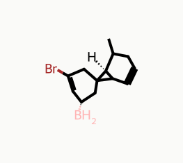 B[C@@H]1C=C(Br)CC2(C1)C1C#CCC(C)[C@@H]12